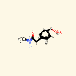 [CH2]NC(=O)Cc1ccc(CO)cc1